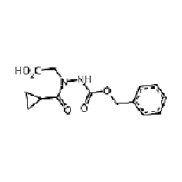 O=C(O)CN(NC(=O)OCc1ccccc1)C(=O)C1CC1